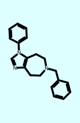 c1ccc(CN2CCc3ncn(-c4ccccc4)c3CC2)cc1